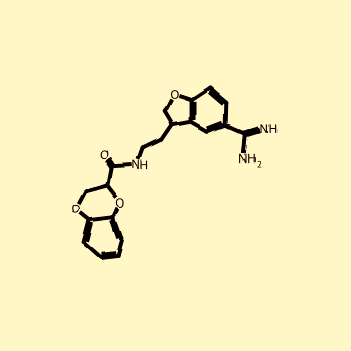 N=C(N)c1ccc2c(c1)C(CCNC(=O)C1COc3ccccc3O1)CO2